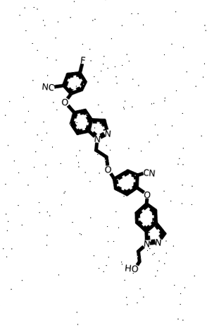 N#Cc1cc(F)ccc1Oc1ccc2c(cnn2CCOc2ccc(Oc3ccc4c(cnn4CCO)c3)c(C#N)c2)c1